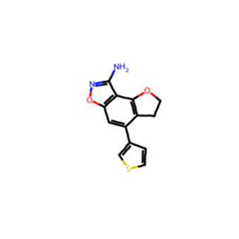 Nc1noc2cc(-c3ccsc3)c3c(c12)OCC3